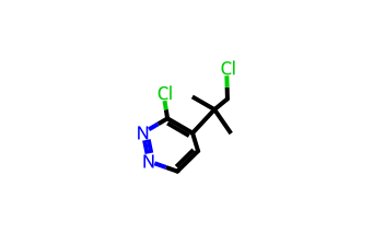 CC(C)(CCl)c1ccnnc1Cl